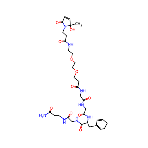 CC1(O)C=CC(=O)N1CCC(=O)NCCOCCOCCC(=O)NCC(=O)NCC(=O)N[C@@H](CC1=CCCC=C1)C(=O)NCC(=O)NCCC(N)=O